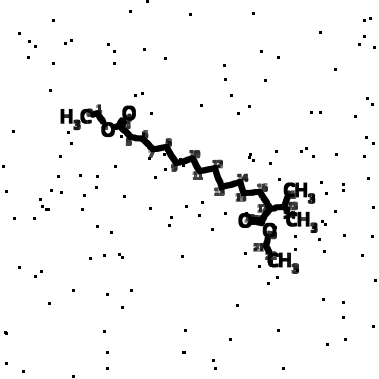 CCOC(=O)CCCCCCCCCCCCC(C(=O)OCC)C(C)C